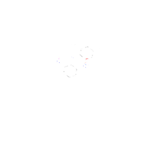 CCCCCCc1cc([N+](=O)[O-])c(Nc2c(Cl)cc(Cl)cc2Cl)c([N+](=O)[O-])c1